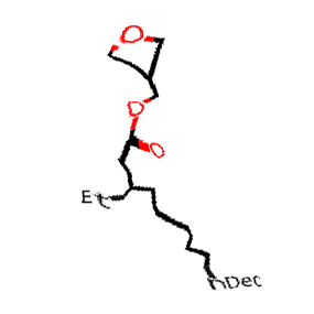 CCCCCCCCCCCCCCCC(CC)CC(=O)OCC1COC1